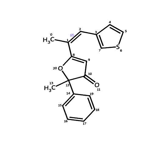 C/C(=C/c1ccsc1)C1=CC(=O)C(C)(c2ccccc2)O1